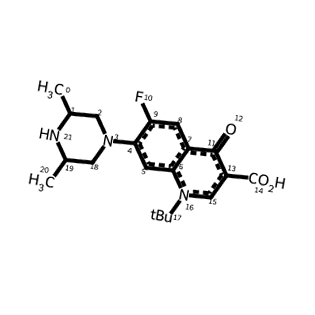 CC1CN(c2cc3c(cc2F)c(=O)c(C(=O)O)cn3C(C)(C)C)CC(C)N1